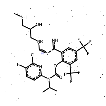 CNCC(O)CN/C=N\C(=N)c1cc(C(F)(F)F)cc(C(F)(F)F)c1OC(=O)N(c1ccc(F)c(Cl)n1)C(C)C